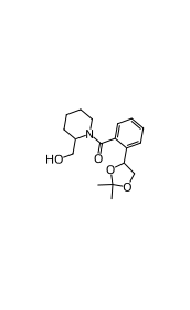 CC1(C)OCC(c2ccccc2C(=O)N2CCCCC2CO)O1